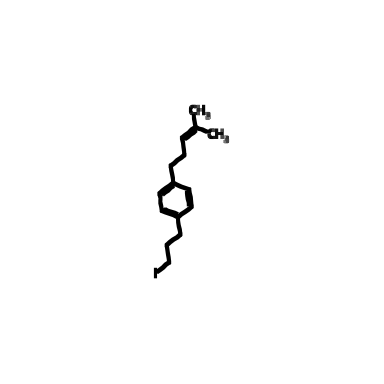 CC(C)=CCCc1ccc(CCCI)cc1